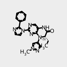 CC[C@H]1C(=O)Nc2cnc(-n3ccnc3-c3ccccc3)nc2N1c1cnn(C)c1